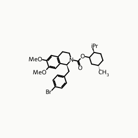 COc1cc2c(cc1OC)[C@H](Cc1ccc(Br)cc1)N(C(=O)OC1C[C@@H](C)CC[C@@H]1C(C)C)CC2